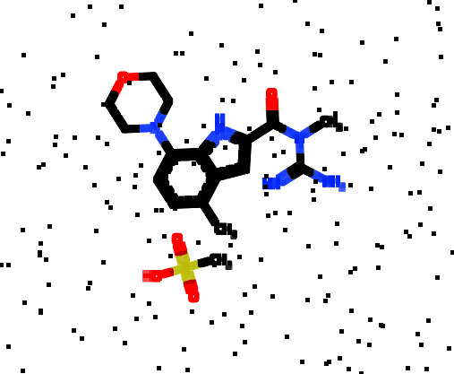 CS(=O)(=O)O.Cc1ccc(N2CCOCC2)c2[nH]c(C(=O)N(C)C(=N)N)cc12